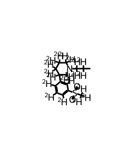 [2H]c1c([2H])c(C2([2H])C([2H])([2H])N(C([2H])([2H])C([2H])([2H])C)C([2H])([2H])C([2H])([2H])C2([2H])[2H])c([2H])c(S(=O)(=O)C([2H])([2H])[2H])c1[2H]